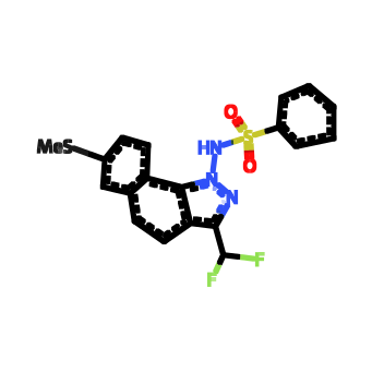 CSc1ccc2c(ccc3c(C(F)F)nn(NS(=O)(=O)c4ccccc4)c32)c1